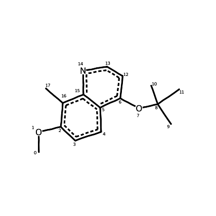 COc1ccc2c(OC(C)(C)C)ccnc2c1C